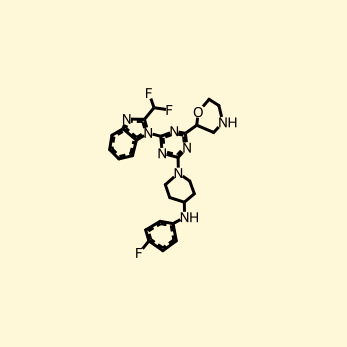 Fc1ccc(NC2CCN(c3nc(C4CNCCO4)nc(-n4c(C(F)F)nc5ccccc54)n3)CC2)cc1